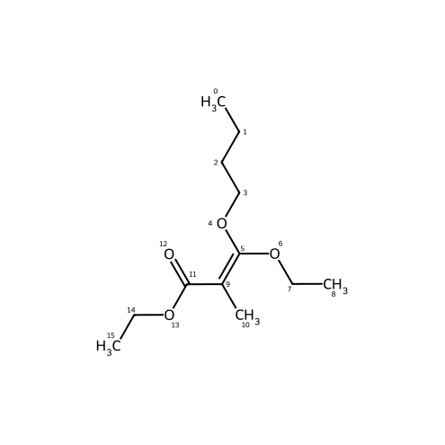 CCCCOC(OCC)=C(C)C(=O)OCC